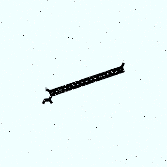 C/C=C(\C)c1c(I)c2c1c1c2c2c1c1c2c2c1c1c2c2c1c1c3c4c5c6c7c8c9c%10cc(C)c%10c9c8c7c6c5c4c3c21